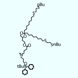 CCCCSCCSCCCCCCCCC1(CCCCCCCCSCCSCCCC)OCC(CCOC(=O)CCCN(C)CCCO[Si](c2ccccc2)(c2ccccc2)C(C)(C)C)O1